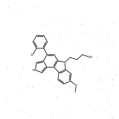 COc1ccc2c3c4c[nH]cc4c(-c4ccccc4Cl)cc3n(CCCO)c2c1